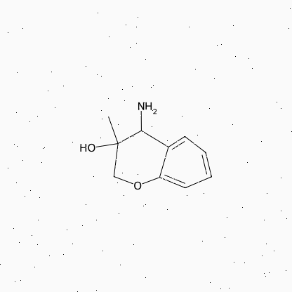 CC1(O)COc2ccccc2C1N